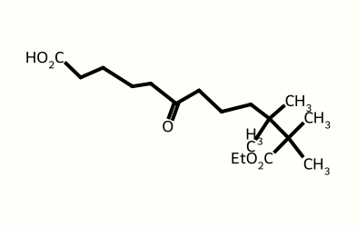 CCOC(=O)C(C)(C)C(C)(C)CCCC(=O)CCCCC(=O)O